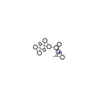 CC1C2C(c3cccc(-c4ccc5c(c4)-c4ccccc4C54c5ccccc5C5(c6ccccc6-c6ccccc65)c5ccccc54)c3)=Nc3ccccc3C12c1ccc(-c2ccccc2)cc1